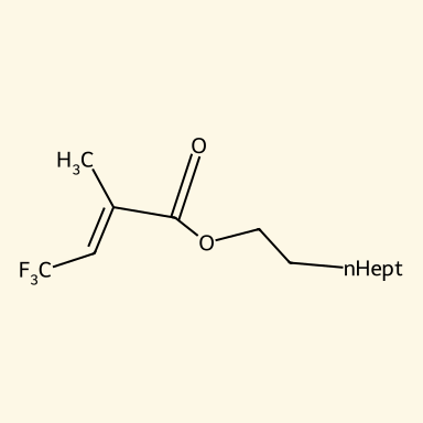 CCCCCCCCCOC(=O)C(C)=CC(F)(F)F